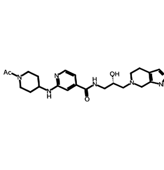 CC(=O)N1CCC(Nc2cc(C(=O)NC[C@H](O)CN3CCc4cn[nH]c4C3)ccn2)CC1